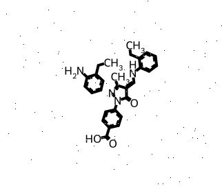 CCc1ccccc1N.CCc1ccccc1NC=C1C(=O)N(c2ccc(C(=O)O)cc2)N=C1C